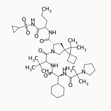 CCCC(NC(=O)[C@@H]1C[C@@]2(CN1C(=O)C(NC(=O)[C@@H](NC(=O)C(C)(C)N1CCCC1)C1CCCCC1)C(C)(C)C)C(C)(C)C21CCC1)C(=O)NS(=O)(=O)C1CC1